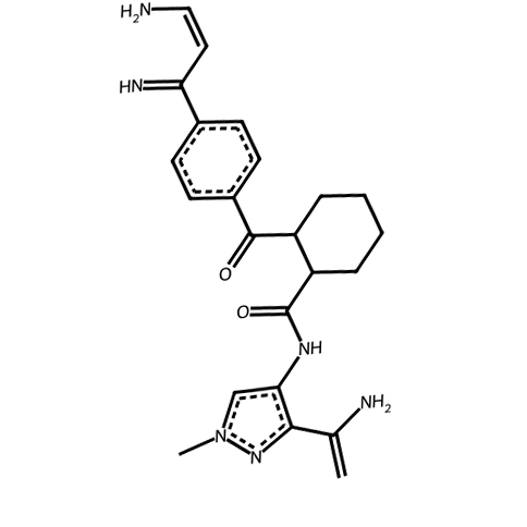 C=C(N)c1nn(C)cc1NC(=O)C1CCCCC1C(=O)c1ccc(C(=N)/C=C\N)cc1